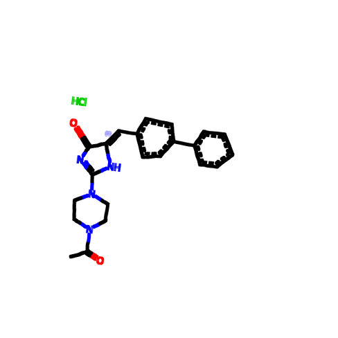 CC(=O)N1CCN(C2=NC(=O)/C(=C/c3ccc(-c4ccccc4)cc3)N2)CC1.Cl